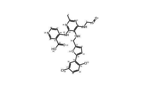 Cc1nc(NC[S+]=O)c(NCc2ccc(-c3cc(Cl)ccc3Cl)o2)c(Nc2ccncc2C(=O)O)n1